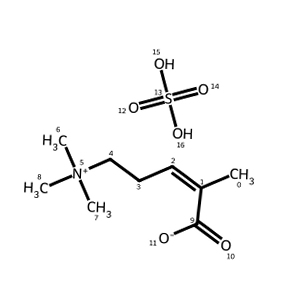 CC(=CCC[N+](C)(C)C)C(=O)[O-].O=S(=O)(O)O